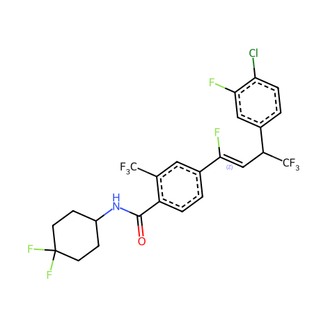 O=C(NC1CCC(F)(F)CC1)c1ccc(/C(F)=C/C(c2ccc(Cl)c(F)c2)C(F)(F)F)cc1C(F)(F)F